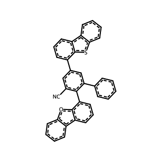 N#Cc1cc(-c2cccc3c2sc2ccccc23)cc(-c2ccccc2)c1-c1cccc2c1oc1ccccc12